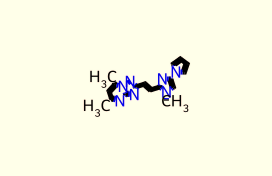 Cc1cc(C)n2nc(C=Cc3nc(-n4cccc4)cn3C)nc2n1